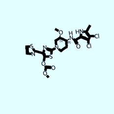 COC(=O)Oc1sc(N2CC[C@@H](NC(=O)c3[nH]c(C)c(Cl)c3Cl)[C@@H](OC)C2)nc1-c1nccs1